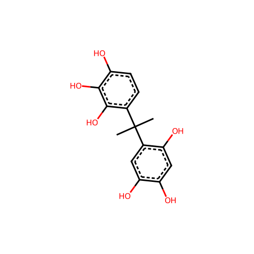 CC(C)(c1cc(O)c(O)cc1O)c1ccc(O)c(O)c1O